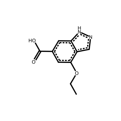 CCOc1cc(C(=O)O)cc2[nH]ncc12